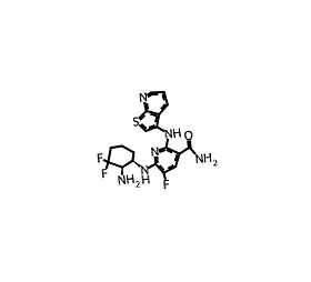 NC(=O)c1cc(F)c(N[C@@H]2CCCC(F)(F)[C@@H]2N)nc1Nc1csc2ncccc12